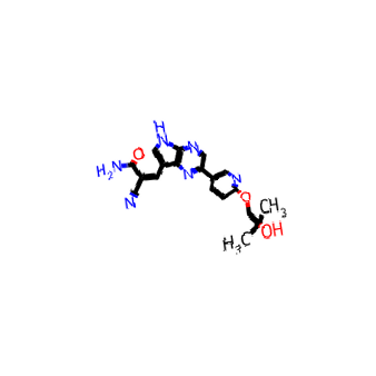 CC(C)(O)COc1ccc(-c2cnc3[nH]cc(C=C(C#N)C(N)=O)c3n2)cn1